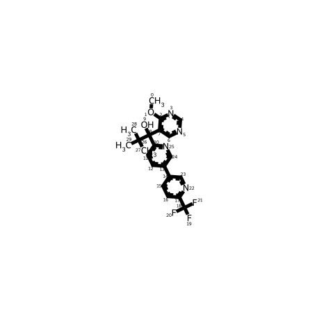 COc1ncncc1C(O)(c1ccc(-c2ccc(C(F)(F)F)nc2)cn1)C(C)(C)C